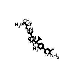 CN(C)C(=O)Cn1cc(-c2nc(C(C)(c3ccc(-c4cnc(N)c(F)c4)cc3)C3CC3)no2)cn1